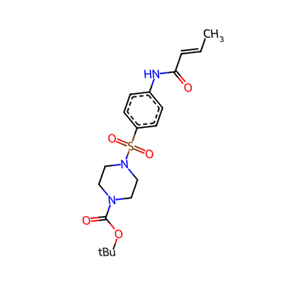 CC=CC(=O)Nc1ccc(S(=O)(=O)N2CCN(C(=O)OC(C)(C)C)CC2)cc1